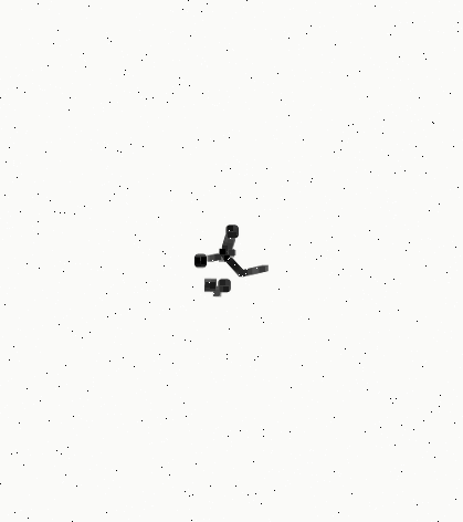 CC[N+](=O)[O-].O